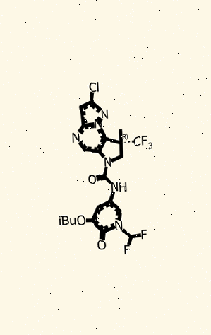 CC(C)COc1cc(NC(=O)N2C[C@@](C)(C(F)(F)F)c3c2cnc2cc(Cl)nn32)cn(C(F)F)c1=O